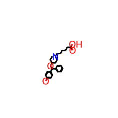 COc1ccc(C(OC2CCN(CCCCCC(=O)O)CC2)c2ccccc2)cc1